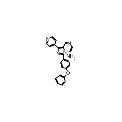 N[N+]12C=CN=CC1=C(c1ccncc1)N=C2c1ccc(Oc2ccccc2)cc1